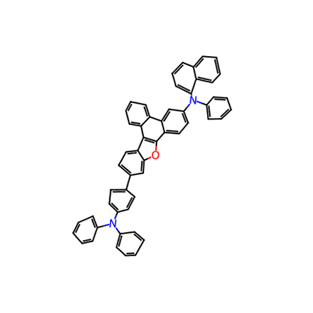 c1ccc(N(c2ccccc2)c2ccc(-c3ccc4c(c3)oc3c5ccc(N(c6ccccc6)c6cccc7ccccc67)cc5c5ccccc5c43)cc2)cc1